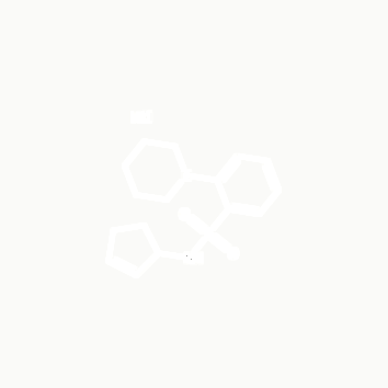 Cl.O=S(=O)(NC1C=CCC1)c1ccccc1N1CCCCC1